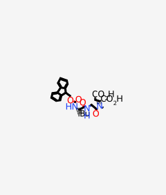 CC[C@H](C)[C@H](NC(=O)OCC1c2ccccc2-c2ccccc21)C(=O)NCC(=O)N(C)[C@@H](CC(=O)O)C(=O)O